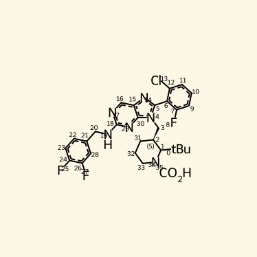 CC(C)(C)C1[C@H](Cn2c(-c3c(F)cccc3Cl)nc3cnc(NCc4ccc(F)c(F)c4)nc32)CCCN1C(=O)O